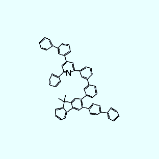 CC1(C)c2ccccc2-c2cc(-c3ccc(-c4ccccc4)cc3)c(-c3cccc(-c4cccc(-c5cc(-c6cccc(-c7ccccc7)c6)cc(-c6ccccc6)n5)c4)c3)cc21